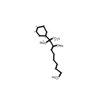 COC(CCCCCCC(=O)O)C(OC)(C(=O)O)C1CCCCC1